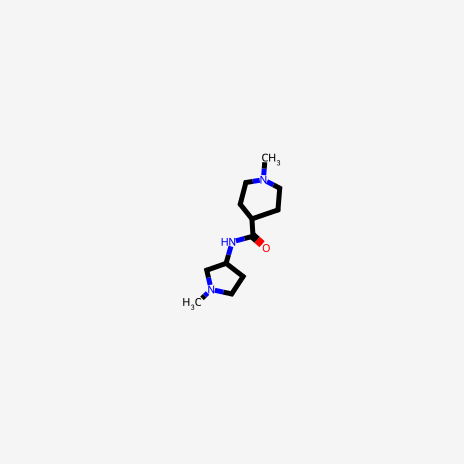 CN1CCC(C(=O)NC2CCN(C)C2)CC1